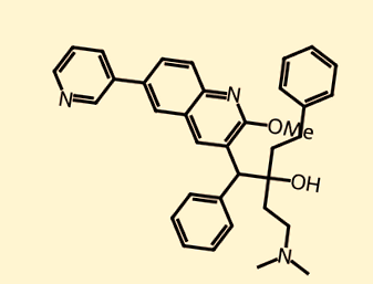 COc1nc2ccc(-c3cccnc3)cc2cc1C(c1ccccc1)C(O)(CCc1ccccc1)CCN(C)C